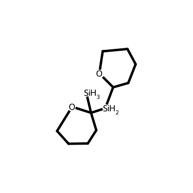 [SiH3]C1([SiH2]C2CCCCO2)CCCCO1